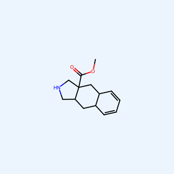 COC(=O)C12CNCC1CC1C=CC=CC1C2